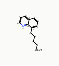 CCCCCCCCCCCCc1cccc2cccnc12